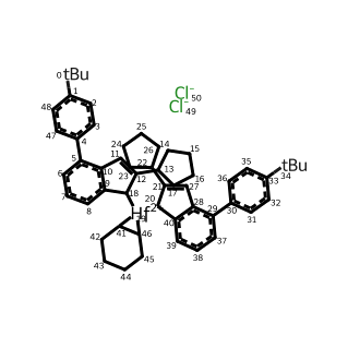 CC(C)(C)c1ccc(-c2cccc3c2C=C(C2CCCC2)[CH]3[Hf+2]2([CH]3C(C4CCCC4)=Cc4c(-c5ccc(C(C)(C)C)cc5)cccc43)[CH]3CCCC[CH]32)cc1.[Cl-].[Cl-]